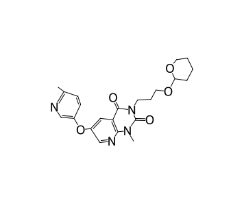 Cc1ccc(Oc2cnc3c(c2)c(=O)n(CCCOC2CCCCO2)c(=O)n3C)cn1